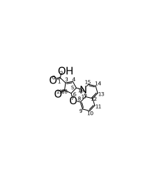 O=C(O)C1=CC2C(OC3=CC=CC4=CC=CN2C43)C1=O